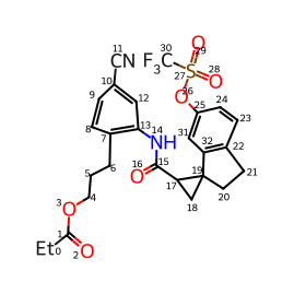 CCC(=O)OCCCc1ccc(C#N)cc1NC(=O)C1CC12CCc1ccc(OS(=O)(=O)C(F)(F)F)cc12